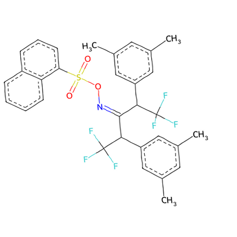 Cc1cc(C)cc(C(C(=NOS(=O)(=O)c2cccc3ccccc23)C(c2cc(C)cc(C)c2)C(F)(F)F)C(F)(F)F)c1